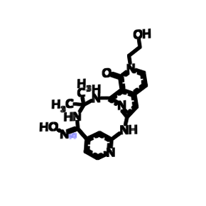 CC1(C)N/C(=N\O)c2ccnc(c2)Nc2cc3ccn(CCO)c(=O)c3c(n2)N1